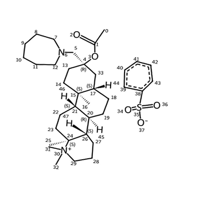 CC(=O)O[C@]1(CN2CCCCCC2)CC[C@@]2(C)[C@@H](CC[C@@H]3[C@@H]2CC[C@@]2(C)[C@H]3CCC[N+]2(C)C)C1.O=S(=O)([O-])c1ccccc1